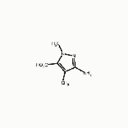 Cc1c(N)nn(C)c1C(=O)O